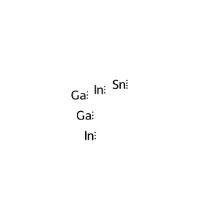 [Ga].[Ga].[In].[In].[Sn]